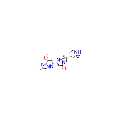 COc1cc(-c2cc(=O)n3cc([C@@H]4CCNC5(CC5)C4)sc3n2)nn2cc(C)nc12